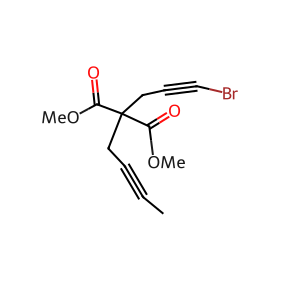 CC#CCC(CC#CBr)(C(=O)OC)C(=O)OC